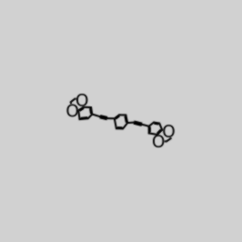 C(#Cc1ccc2c(c1)OCCO2)c1ccc(C#Cc2ccc3c(c2)OCCO3)cc1